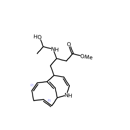 COC(=O)CC(CC1C=CNC2C=C1/C=C\C/C=C/2)NC(C)O